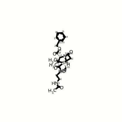 CC(=O)NCCNC(=O)[S@]1(CO)[C@@H]2CC(=O)N2[C@@H](C(=O)OCc2ccccc2)C1(C)C